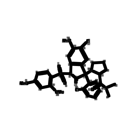 COc1ccc(S(=O)(=O)N2C(=O)C(c3ccccc3Cl)(N3CCCC3C(=O)N(C)C)c3cc(Cl)c(OC)cc32)c(OC)c1